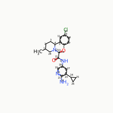 CC1CCC(c2cccc(Cl)c2)N(C(=O)C(=O)Nc2cnc(N)c(C3CC3)c2)C1